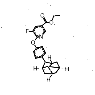 CCOC(=O)c1cnc(Oc2ccc(C3[C@H]4C[C@@H]5C[C@@H](C[C@H]3C5)C4)cc2)c(F)c1